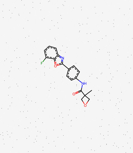 CC1(C(=O)Nc2ccc(-c3nc4cccc(F)c4o3)cc2)COC1